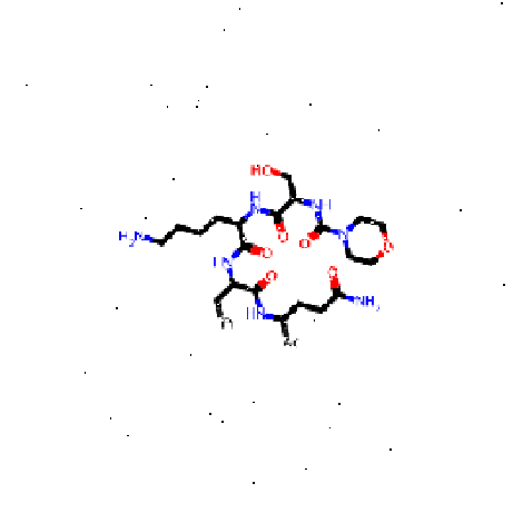 CC(=O)C(CCC(N)=O)NC(=O)C(CC(C)C)NC(=O)C(CCCCN)NC(=O)C(CO)NC(=O)N1CCOCC1